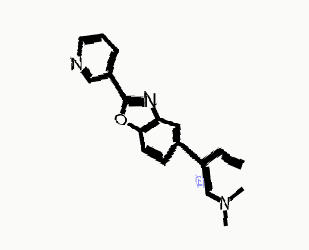 C=C/C(=C\N(C)C)c1ccc2oc(-c3cccnc3)nc2c1